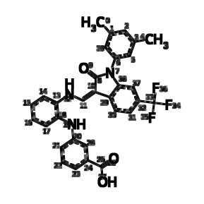 Cc1cc(C)cc(N2C(=O)/C(=C\Nc3ccccc3Nc3cccc(C(=O)O)c3)c3ccc(C(F)(F)F)cc32)c1